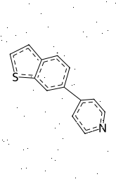 [c]1cc(-c2ccncc2)cc2sccc12